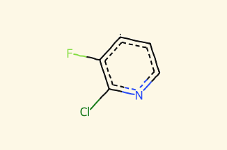 Fc1[c]ccnc1Cl